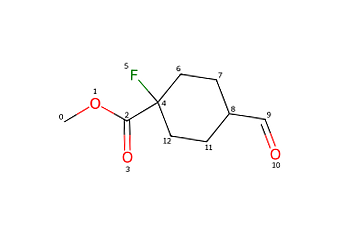 COC(=O)C1(F)CCC(C=O)CC1